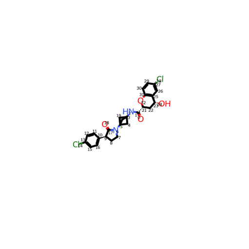 O=C(NC12CC(N3CC[C@@H](c4ccc(Cl)cc4)C3=O)(C1)C2)[C@H]1C[C@@H](O)c2cc(Cl)ccc2O1